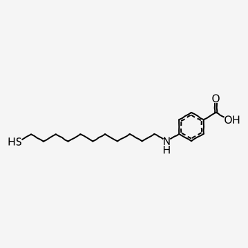 O=C(O)c1ccc(NCCCCCCCCCCCS)cc1